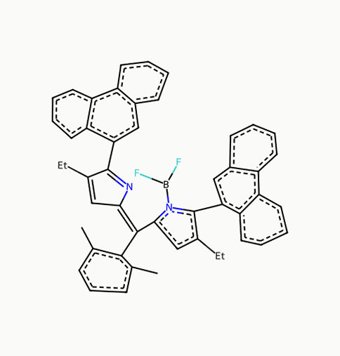 CCC1=C/C(=C(\c2c(C)cccc2C)c2cc(CC)c(-c3cc4ccccc4c4ccccc34)n2B(F)F)N=C1c1cc2ccccc2c2ccccc12